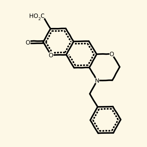 O=C(O)c1cc2cc3c(cc2oc1=O)N(Cc1ccccc1)CCO3